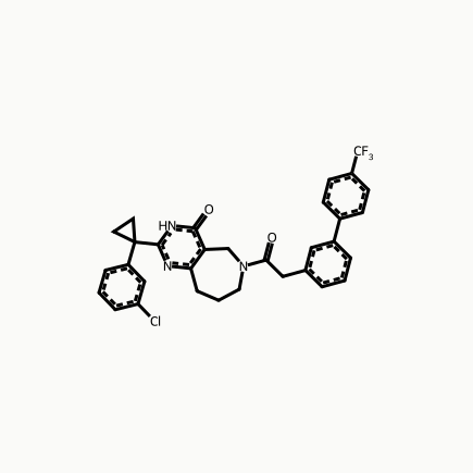 O=C(Cc1cccc(-c2ccc(C(F)(F)F)cc2)c1)N1CCCc2nc(C3(c4cccc(Cl)c4)CC3)[nH]c(=O)c2C1